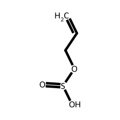 C=CCOS(=O)O